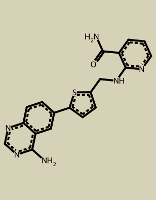 NC(=O)c1cccnc1NCc1ccc(-c2ccc3ncnc(N)c3c2)s1